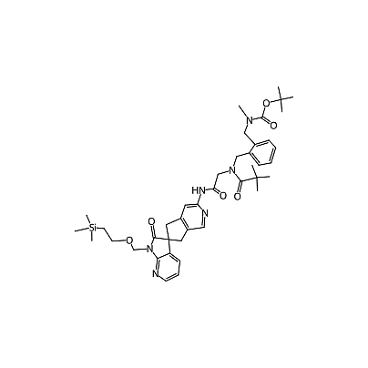 CN(Cc1ccccc1CN(CC(=O)Nc1cc2c(cn1)CC1(C2)C(=O)N(COCC[Si](C)(C)C)c2ncccc21)C(=O)C(C)(C)C)C(=O)OC(C)(C)C